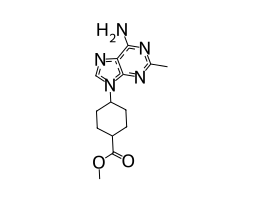 COC(=O)C1CCC(n2cnc3c(N)nc(C)nc32)CC1